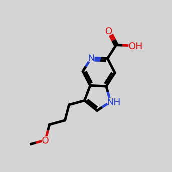 COCCCc1c[nH]c2cc(C(=O)O)ncc12